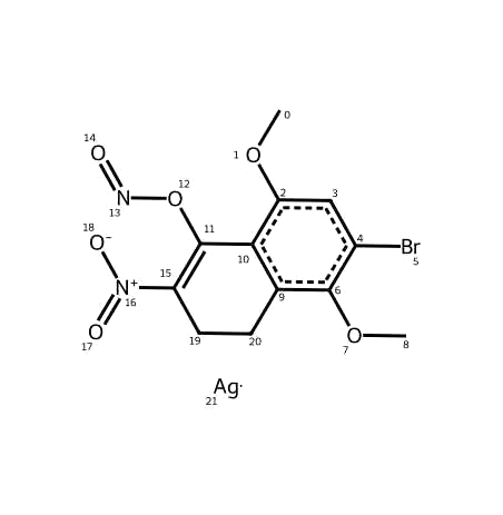 COc1cc(Br)c(OC)c2c1C(ON=O)=C([N+](=O)[O-])CC2.[Ag]